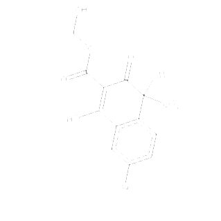 CCOC(=O)C1=C(O)c2cc(Br)ccc2C(C)(C)C1=O